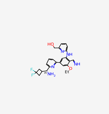 CCOc1cc(-c2cccc([C@H](N)C3CC(F)(F)C3)n2)cc(Nc2cccc(CO)n2)c1C=N